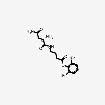 CC(C)c1cccc(C(C)C)c1OC(=O)CCCNC(=O)[C@@H](N)CC(N)=O